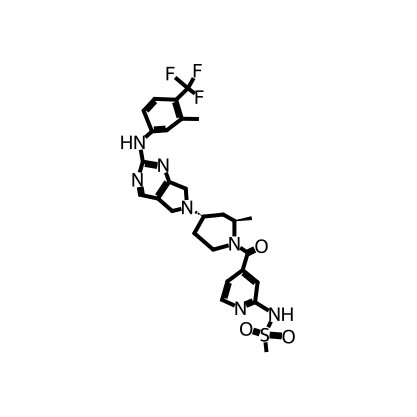 Cc1cc(Nc2ncc3c(n2)CN([C@H]2CCN(C(=O)c4ccnc(NS(C)(=O)=O)c4)[C@H](C)C2)C3)ccc1C(F)(F)F